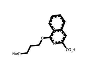 COCCCOc1nc(C(=O)O)cc2ccccc12